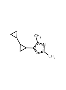 Cc1nc(C)c(C2CC2C2CC2)s1